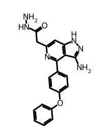 NNC(=O)Cc1cc2[nH]nc(N)c2c(-c2ccc(Oc3ccccc3)cc2)n1